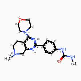 CCNC(=O)Nc1ccc(-c2nc3c(c(N4CCOCC4)n2)CCN(C)C3)cc1